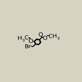 CCOC(=O)c1ccc(CBr)c(OCC)c1